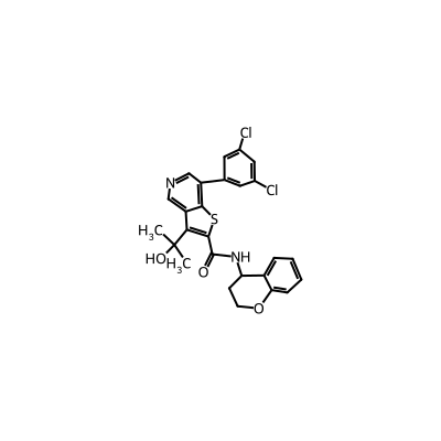 CC(C)(O)c1c(C(=O)NC2CCOc3ccccc32)sc2c(-c3cc(Cl)cc(Cl)c3)cncc12